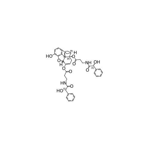 O=C(CCNC(=O)[C@@H](O)c1ccccc1)OC1=CC[C@@]2(OC(=O)CCNC(=O)[C@@H](O)c3ccccc3)[C@@H]3CCC[C@@]24c2c(ccc(O)c2O[C@@H]14)C3